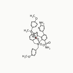 COc1ccc(CN(Cc2ccc(OC)cc2)S(=O)(=O)c2c(S(N)(=O)=O)ccc(-c3ccc(N)nc3)c2-c2nnn(Cc3ccc(OC)cc3)n2)cc1